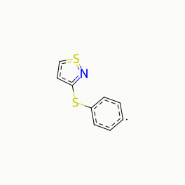 [c]1ccc(Sc2ccsn2)cc1